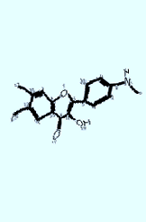 CNc1ccc(-c2oc3cc(C)c(C)cc3c(=O)c2O)cc1